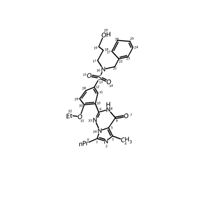 CCCc1nc(C)c2c(=O)[nH]c(-c3cc(S(=O)(=O)N(CCCO)Cc4ccccc4)ccc3OCC)nn12